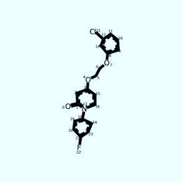 O=c1cc(OCCOc2cccc(Cl)c2)ccn1-c1ccc(F)cc1